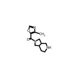 Cc1ncoc1C(=O)N1CC2CCNCC2C1